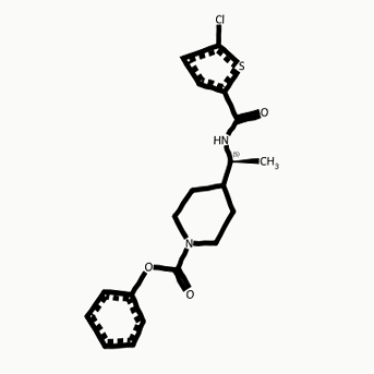 C[C@H](NC(=O)c1ccc(Cl)s1)C1CCN(C(=O)Oc2ccccc2)CC1